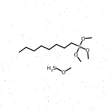 CCCCCCCC[Si](OC)(OC)OC.CO[SiH3]